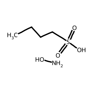 CCCCS(=O)(=O)O.NO